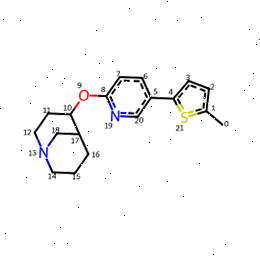 Cc1ccc(-c2ccc(OC3CCN4CCCC3C4)nc2)s1